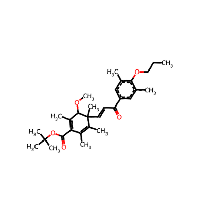 CCCOc1c(C)cc(C(=O)C=CC2(C)C(C)=C(C)C(C(=O)OC(C)(C)C)=C(C)C2OC)cc1C